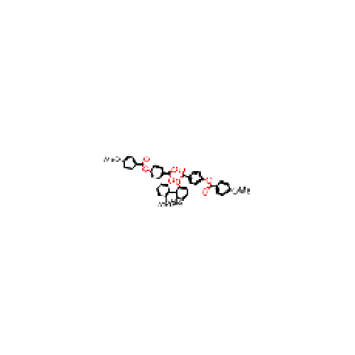 COc1ccc(C(=O)Oc2ccc(C(=O)Oc3cccc(OC)c3-c3c(OC)cccc3OC(=O)c3ccc(OC(=O)c4ccc(OC)cc4)cc3)cc2)cc1